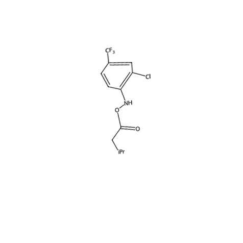 CC(C)CC(=O)ONc1ccc(C(F)(F)F)cc1Cl